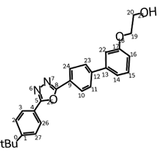 CC(C)(C)c1ccc(-c2nnc(-c3ccc(-c4cccc(OCCO)c4)cc3)o2)cc1